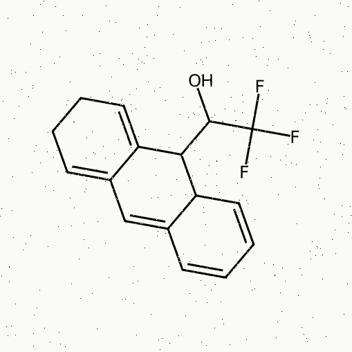 OC(C1C2=CCCC=C2C=C2C=CC=CC21)C(F)(F)F